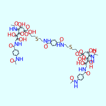 CC(=O)Nc1ccc(C(=O)NC[C@@H](O)[C@@H](O)[C@@H]2O[C@@](OCCCSCCNC(=O)c3ccc(C(=O)NCCSCCCO[C@]4(C(=O)O)C[C@H](O)[C@@H](NC(C)=O)[C@H]([C@H](O)[C@H](O)CNC(=O)c5ccc(NC(C)=O)cc5)O4)cc3)(C(=O)O)C[C@H](O)[C@H]2NC(C)=O)cc1